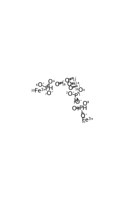 O=[PH]([O-])[O-].O=[PH]([O-])[O-].O=[PH]([O-])[O-].[C]=O.[C]=O.[C]=O.[C]=O.[Fe+3].[Fe+3]